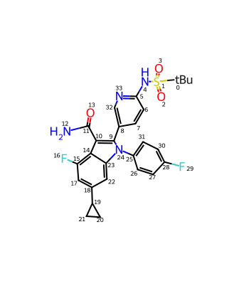 CC(C)(C)S(=O)(=O)Nc1ccc(-c2c(C(N)=O)c3c(F)cc(C4CC4)cc3n2-c2ccc(F)cc2)cn1